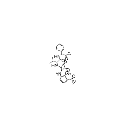 COC(=O)[C@@H](NC(=O)[C@H](Nc1c(Nc2cccc(C(=O)N(C)C)c2O)c(=O)c1=O)C(C)C)c1ccccc1